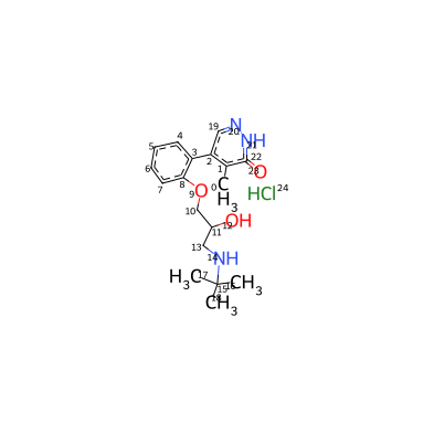 Cc1c(-c2ccccc2OCC(O)CNC(C)(C)C)cn[nH]c1=O.Cl